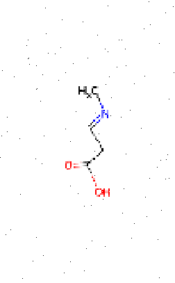 C/N=C/CC(=O)O